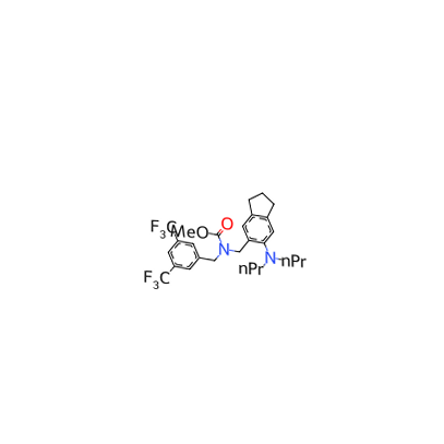 CCCN(CCC)c1cc2c(cc1CN(Cc1cc(C(F)(F)F)cc(C(F)(F)F)c1)C(=O)OC)CCC2